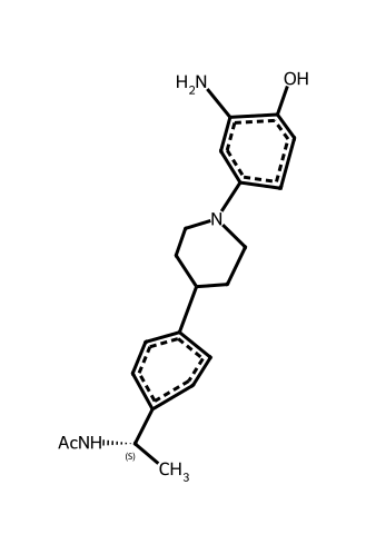 CC(=O)N[C@@H](C)c1ccc(C2CCN(c3ccc(O)c(N)c3)CC2)cc1